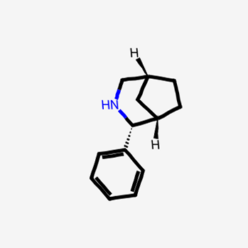 c1ccc([C@@H]2NC[C@@H]3CC[C@H]2C3)cc1